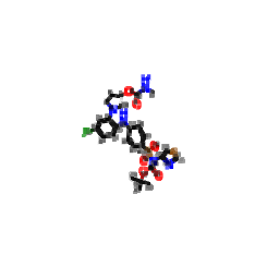 CNC(=O)OC1CCN(c2cc(F)ccc2Nc2ccc(S(=O)(=O)N(C(=O)OC(C)(C)C)c3cscn3)cc2)C1